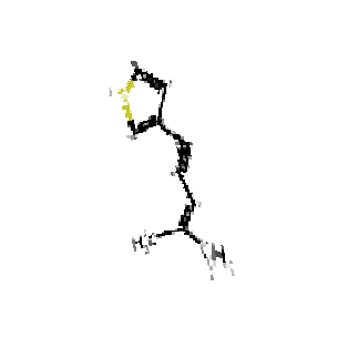 CC(C)=CC=Cc1ccsc1